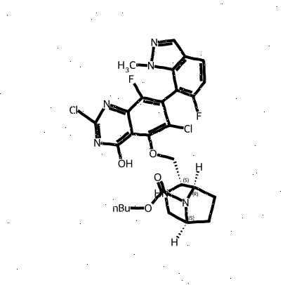 CCCCOC(=O)N1[C@H]2CC[C@@H]1[C@@H](COc1c(Cl)c(-c3c(F)ccc4cnn(C)c34)c(F)c3nc(Cl)nc(O)c13)NC2